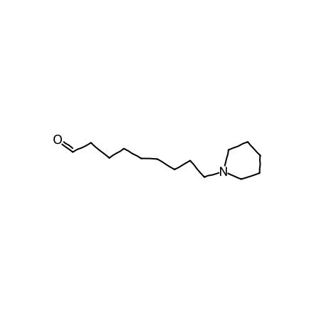 O=CCCCCCCCCN1CCCCC1